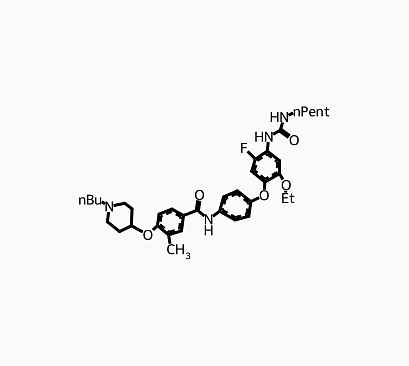 CCCCCNC(=O)Nc1cc(OCC)c(Oc2ccc(NC(=O)c3ccc(OC4CCN(CCCC)CC4)c(C)c3)cc2)cc1F